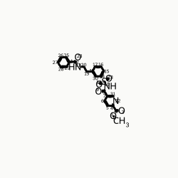 COC(=O)c1ccc(C(=O)NS(=O)(=O)c2cccc(CCNC(=O)c3ccccc3)c2)cn1